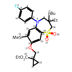 CCCCC1(CC)CN(c2ccc(F)cc2)c2cc(SC)c(OCC3(C(=O)OCC)CC3)cc2S(=O)(=O)C1